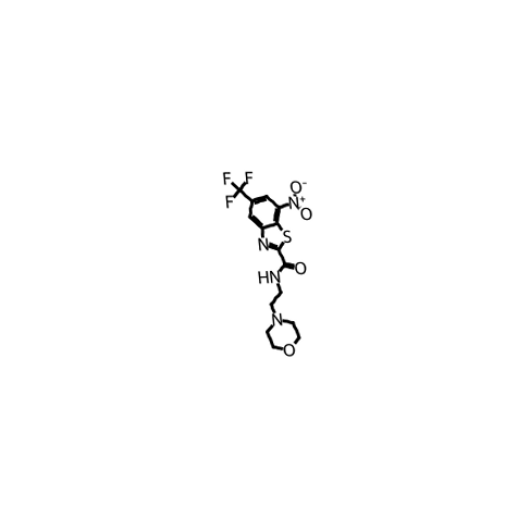 O=C(NCCN1CCOCC1)c1nc2cc(C(F)(F)F)cc([N+](=O)[O-])c2s1